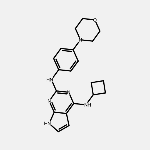 c1cc2c(NC3CCC3)nc(Nc3ccc(N4CCOCC4)cc3)nc2[nH]1